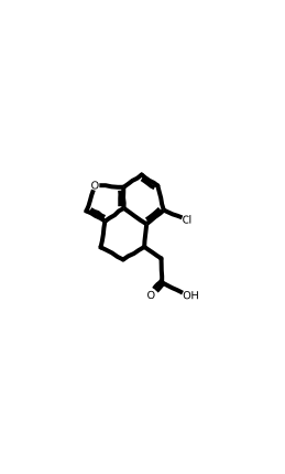 O=C(O)CC1CCc2coc3ccc(Cl)c1c23